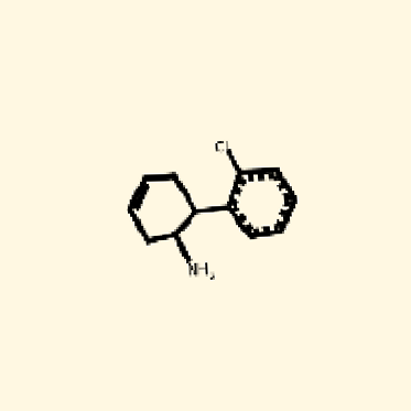 NC1CC=CCC1c1ccccc1Cl